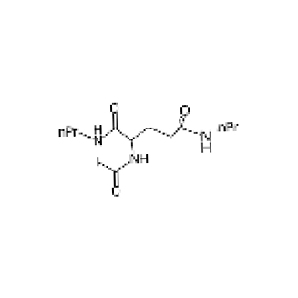 CCCNC(=O)CCC(NC(=O)I)C(=O)NCCC